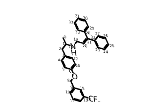 CC(Cc1ccc(OCc2cccc(C(F)(F)F)c2)cc1)NCC=C(c1ccccc1)c1ccccc1